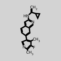 C=C(Nc1cc2ccc(-c3cnc(C)c(F)c3C)cc2cn1)C1CC1